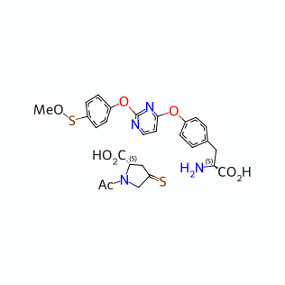 CC(=O)N1CC(=S)C[C@H]1C(=O)O.COSc1ccc(Oc2nccc(Oc3ccc(C[C@H](N)C(=O)O)cc3)n2)cc1